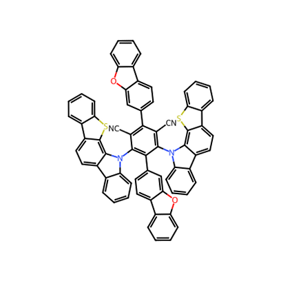 N#Cc1c(-c2ccc3c(c2)oc2ccccc23)c(C#N)c(-n2c3ccccc3c3ccc4c5ccccc5sc4c32)c(-c2ccc3c(c2)oc2ccccc23)c1-n1c2ccccc2c2ccc3c4ccccc4sc3c21